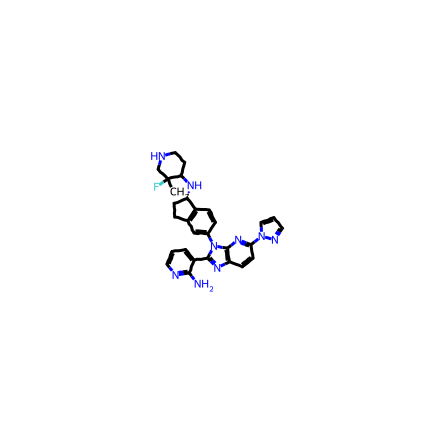 CC1(F)CNCCC1N[C@H]1CCc2cc(-n3c(-c4cccnc4N)nc4ccc(-n5cccn5)nc43)ccc21